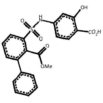 COC(=O)c1c(-c2ccccc2)cccc1S(=O)(=O)Nc1ccc(C(=O)O)c(O)c1